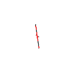 CCCCCCCCCCCCCCCCC(N=O)C(=O)N[C@@H](CO)CCCCCCCCCCCCCCCC